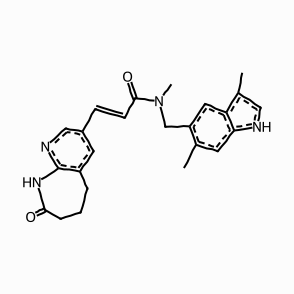 Cc1cc2[nH]cc(C)c2cc1CN(C)C(=O)C=Cc1cnc2c(c1)CCCC(=O)N2